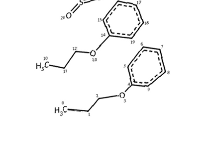 CCCOc1ccccc1.CCCOc1ccccc1.O=S=O